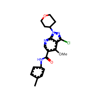 COc1c(C(=O)Nc2ccc(C)cc2)cnc2c1c(Cl)nn2C1CCOCC1